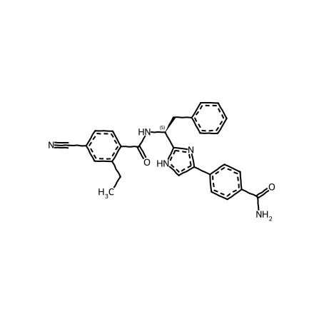 CCc1cc(C#N)ccc1C(=O)N[C@@H](Cc1ccccc1)c1nc(-c2ccc(C(N)=O)cc2)c[nH]1